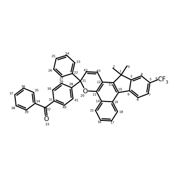 CC1(C)c2cc(C(F)(F)F)ccc2-c2c1c1c(c3ccccc23)OC(c2ccccc2)(c2ccc(C(=O)c3ccccc3)cc2)C=C1